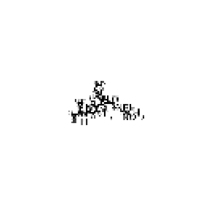 CC(C)(CNCC(=O)c1nc(C(=O)N2C3CCC2CC3)c(-c2cnc(NC(C3CC3)C3CC3)cc2C(F)(F)F)s1)N=O